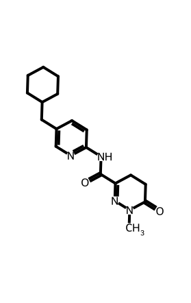 CN1N=C(C(=O)Nc2ccc(CC3CCCCC3)cn2)CCC1=O